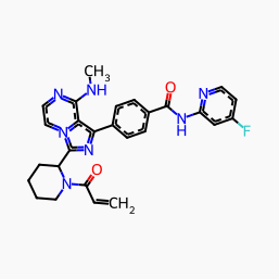 C=CC(=O)N1CCCCC1c1nc(-c2ccc(C(=O)Nc3cc(F)ccn3)cc2)c2c(NC)nccn12